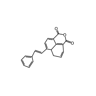 O=C1OC(=O)C2=C3C1=CC=C(/C=C/c1ccccc1)C3CC=C2